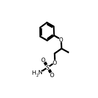 CC(COS(N)(=O)=O)Oc1ccccc1